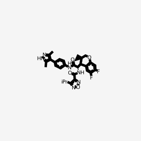 Cc1n[nH]c(C)c1-c1ccc(NC(=O)[C@@H](NC(=O)c2nonc2C(C)C)C2c3cc(F)c(F)cc3OCC23CC3)cc1